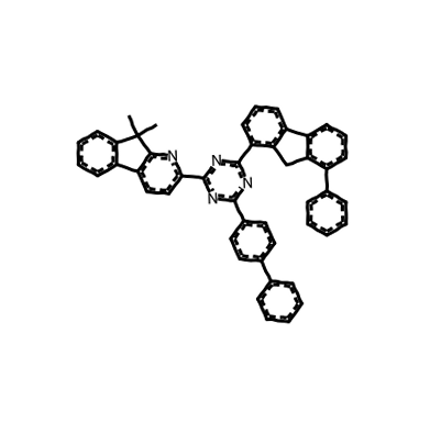 CC1(C)c2ccccc2-c2ccc(-c3nc(-c4ccc(-c5ccccc5)cc4)nc(-c4cccc5c4Cc4c(-c6ccccc6)cccc4-5)n3)nc21